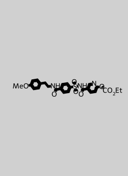 CCOC(=O)Oc1ccc(C(=O)NS(=O)(=O)c2ccc(C(=O)NCCc3ccc(OC)cc3)cc2)cn1